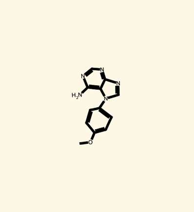 COc1ccc(-n2cnc3ncnc(N)c32)cc1